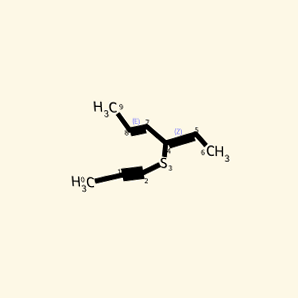 CC#CSC(=C\C)/C=C/C